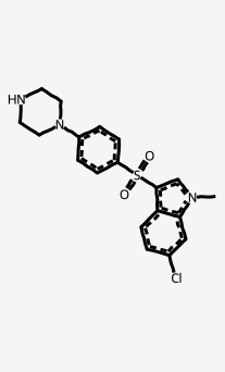 Cn1cc(S(=O)(=O)c2ccc(N3CCNCC3)cc2)c2ccc(Cl)cc21